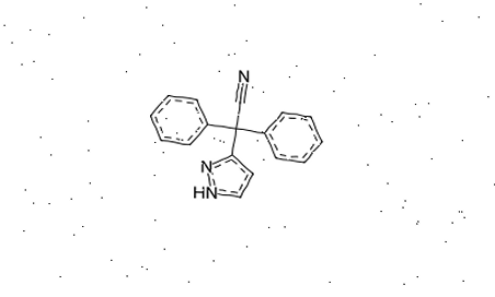 N#CC(c1ccccc1)(c1ccccc1)c1cc[nH]n1